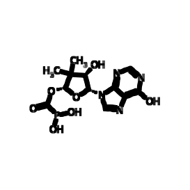 CC1(C)[C@@H](OC(=O)P(O)O)O[C@@H](n2cnc3c(O)ncnc32)[C@@H]1O